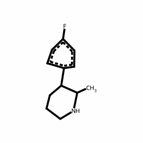 CC1NCCCC1c1ccc(F)cc1